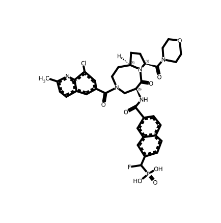 Cc1ccc2cc(C(=O)N3CC[C@H]4CC[C@@H](C(=O)N5CCOCC5)N4C(=O)[C@@H](NC(=O)c4ccc5ccc(C(F)P(=O)(O)O)cc5c4)C3)cc(Cl)c2n1